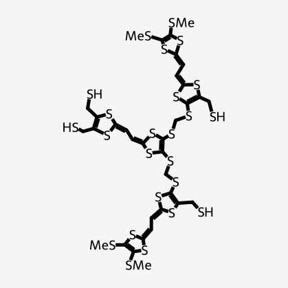 CSC1=C(SC)SC(=CC=C2SC(CS)=C(SCSC3=C(SCSC4=C(CS)S/C(=C\C=C5SC(SC)=C(SC)S5)S4)S/C(=C/C=C4SC(CS)=C(CS)S4)S3)S2)S1